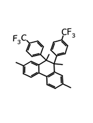 Cc1ccc2c(c1)C(C)(c1ccc(C(F)(F)F)cc1)C(C)(c1ccc(C(F)(F)F)cc1)c1cc(C)ccc1-2